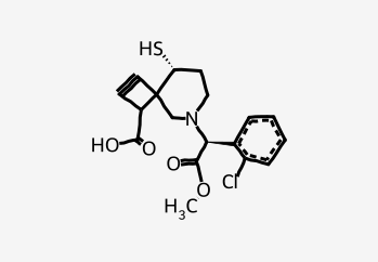 COC(=O)[C@H](c1ccccc1Cl)N1CC[C@@H](S)C2(C#CC2C(=O)O)C1